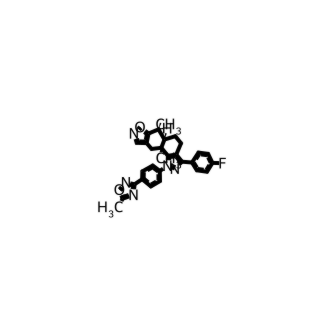 Cc1nc(-c2ccc(-n3nc(-c4ccc(F)cc4)c4c3[C@]3(C)Cc5cnoc5[C@H](C)[C@H]3CC4)cc2)no1